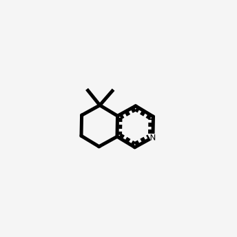 CC1(C)CCCc2cnccc21